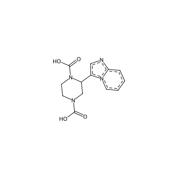 O=C(O)N1CCN(C(=O)O)C(c2cnc3ccccn23)C1